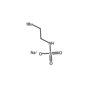 CC(C)(C)CCNS(=O)(=O)[O-].[Na+]